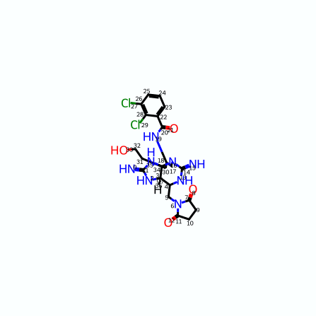 N=C1N[C@H]2C(CN3C(=O)CCC3=O)NC(=N)N3CC(NC(=O)c4cccc(Cl)c4Cl)C(CCO)C23N1